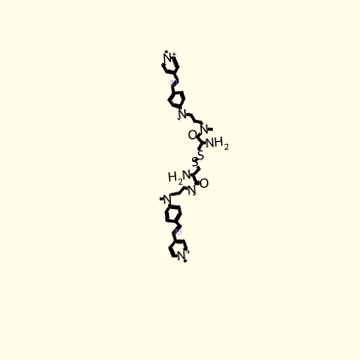 CN(CCCN(C)c1ccc(/C=C/c2cc[n+](C)cc2)cc1)C(=O)C(N)CSSCC(N)C(=O)N(C)CCCN(C)c1ccc(/C=C/c2cc[n+](C)cc2)cc1